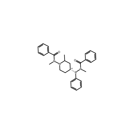 CC1C[C@H](N(c2ccccc2)N(C)C(=O)c2ccccc2)CCN1N(C)C(=O)c1ccccc1